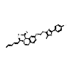 CC=CC=CC(=O)N1CCc2ccc(OCCc3nc(-c4ccc(Cl)cc4)oc3C)cc2C1C(=O)O